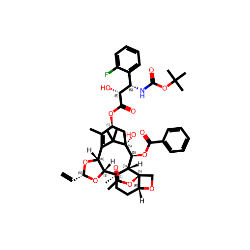 C=C[C@@H]1O[C@@H]2C3=C(C)[C@@H](OC(=O)[C@H](O)[C@@H](NC(=O)OC(C)(C)C)c4ccccc4F)C[C@@](O)([C@@H](OC(=O)c4ccccc4)[C@H]4[C@@](C)(CC[C@H]5OC[C@]54OC(C)=O)[C@@H]2O1)C3(C)C